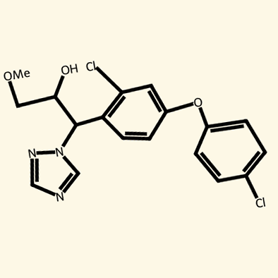 COCC(O)C(c1ccc(Oc2ccc(Cl)cc2)cc1Cl)n1cncn1